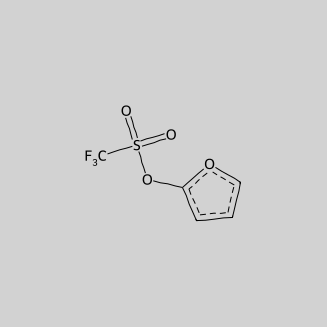 O=S(=O)(Oc1ccco1)C(F)(F)F